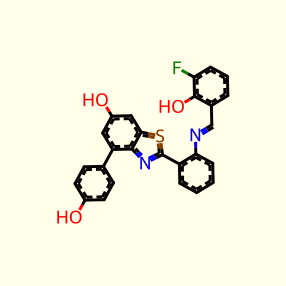 Oc1ccc(-c2cc(O)cc3sc(-c4ccccc4/N=C/c4cccc(F)c4O)nc23)cc1